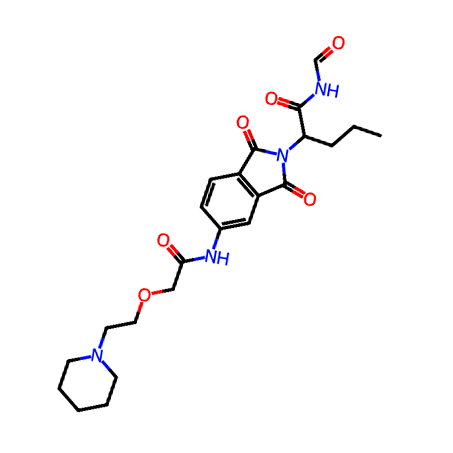 CCCC(C(=O)NC=O)N1C(=O)c2ccc(NC(=O)COCCN3CCCCC3)cc2C1=O